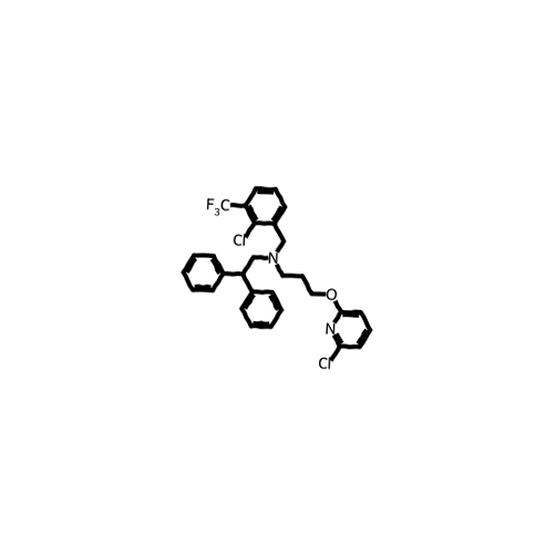 FC(F)(F)c1cccc(CN(CCCOc2cccc(Cl)n2)CC(c2ccccc2)c2ccccc2)c1Cl